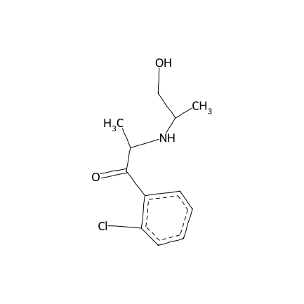 CC(CO)NC(C)C(=O)c1ccccc1Cl